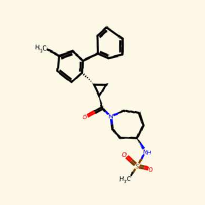 Cc1ccc([C@@H]2C[C@H]2C(=O)N2CCC[C@@H](NS(C)(=O)=O)CC2)c(-c2ccccc2)c1